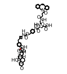 C[C@]12C=CC(=O)C=C1CC[C@@H]1[C@@H]2[C@@H](O)C[C@@]2(C)[C@H]1C[C@H]1O[C@H](c3ccc(CC45CC(NC(=O)OCc6ccc(NC(=O)[C@H](CCC(=O)O)NC(=O)CNC(=O)CCC(=O)N7Cc8ccccc8C#Cc8ccccc87)cc6)(C4)C5)cc3)O[C@]12C(=O)CO